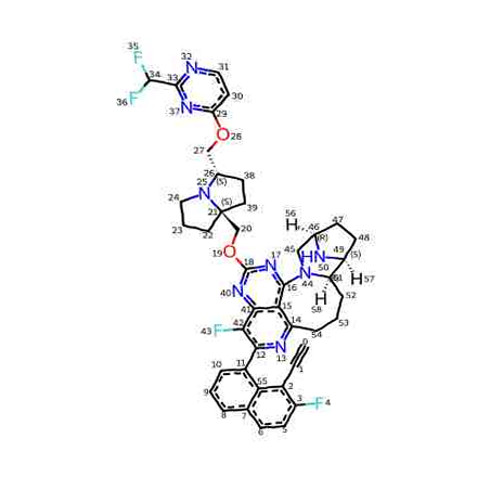 C#Cc1c(F)ccc2cccc(-c3nc4c5c(nc(OC[C@@]67CCCN6[C@H](COc6ccnc(C(F)F)n6)CC7)nc5c3F)N3C[C@H]5CC[C@H](N5)[C@H]3CCC4)c12